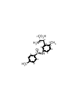 Cc1ccc([S+]([O-])Nc2ccc(C)c(C[C@H](N)C(=O)O)c2)cc1